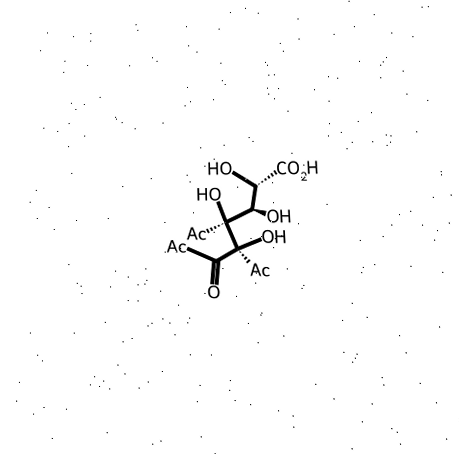 CC(=O)C(=O)[C@@](O)(C(C)=O)[C@](O)(C(C)=O)[C@H](O)[C@H](O)C(=O)O